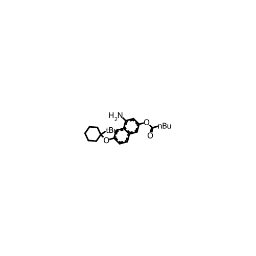 CCCCC(=O)Oc1cc(N)c2cc(OC3(C(C)(C)C)CCCCC3)ccc2c1